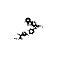 COC(=O)C(c1cc(ON2CCC(n3nc(N)c4nnc(-c5ccccc5O)cc43)CC2)no1)C(C)C